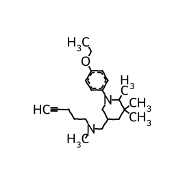 C#CCCCN(C)CC1CN(c2ccc(OCC)cc2)C(C)C(C)(C)C1